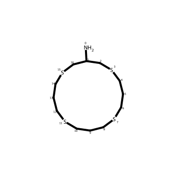 NC1CSCCCSCCCSCCCSC1